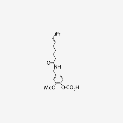 COc1cc(CNC(=O)CCCC/C=C/C(C)C)ccc1OC(=O)O